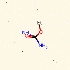 CCOC(N)=O.N